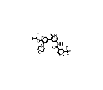 Cc1ncc(NC(=O)c2ccnc(C(C)(F)F)c2)cc1-c1cnc(OC(F)F)c(N2CCOCC2)c1